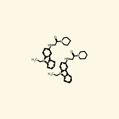 CCn1c2ccccc2c2cc(NCC(=O)N3CCCCC3)ccc21.CCn1c2ccccc2c2cc(NCC(=O)N3CCCCC3)ccc21